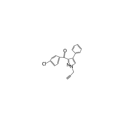 C#CCn1cc(-c2ccccc2)c(C(=O)c2ccc(Cl)cc2)n1